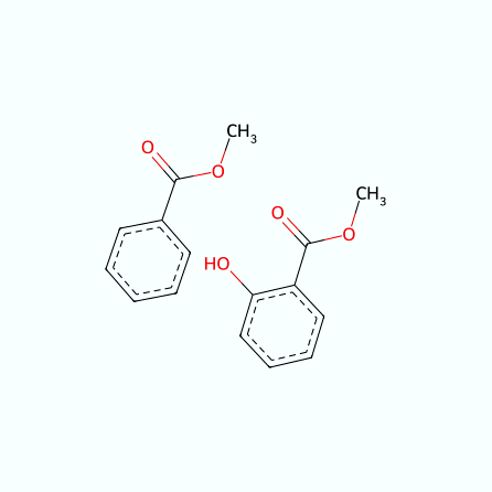 COC(=O)c1ccccc1.COC(=O)c1ccccc1O